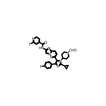 O=CN1CCC(n2c(C3CC3)nc(-c3ccc(F)cc3)c2-c2ccc3nc(NC(=O)c4ccnc(F)c4)cn3n2)CC1